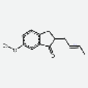 C/C=C/CC1Cc2ccc(OCC)cc2C1=O